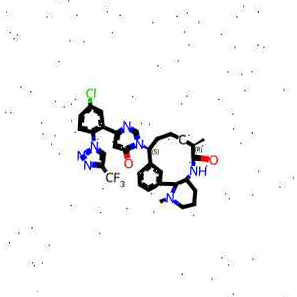 C[C@@H]1CCC[C@H](n2cnc(-c3cc(Cl)ccc3-n3cc(C(F)(F)F)nn3)cc2=O)c2cccc(c2)C2C(CCCN2C)NC1=O